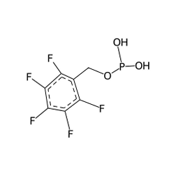 OP(O)OCc1c(F)c(F)c(F)c(F)c1F